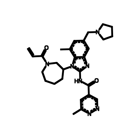 C=CC(=O)N1CCCCC(n2c(NC(=O)c3cnnc(C)c3)nc3cc(CN4CCCC4)cc(C)c32)C1